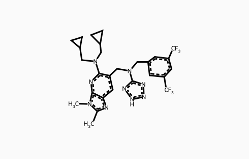 Cc1nc2cc(CN(Cc3cc(C(F)(F)F)cc(C(F)(F)F)c3)c3nn[nH]n3)c(N(CC3CC3)CC3CC3)nc2n1C